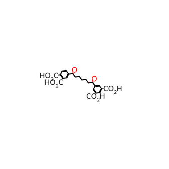 O=C(CCCCCC(=O)c1ccc(C(=O)O)c(C(=O)O)c1)c1ccc(C(=O)O)c(C(=O)O)c1